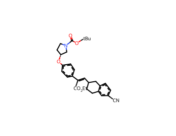 CCOC(=O)/C(=C\C1CCc2cc(C#N)ccc2C1)c1ccc(O[C@H]2CCN(C(=O)OC(C)(C)C)C2)cc1